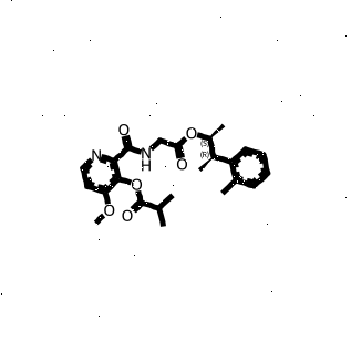 COc1ccnc(C(=O)NCC(=O)O[C@@H](C)[C@H](C)c2ccccc2C)c1OC(=O)C(C)C